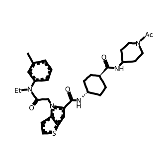 CCN(C(=O)Cn1c(C(=O)N[C@H]2CC[C@H](C(=O)NC3CCN(C(C)=O)CC3)CC2)cc2sccc21)c1cccc(C)c1